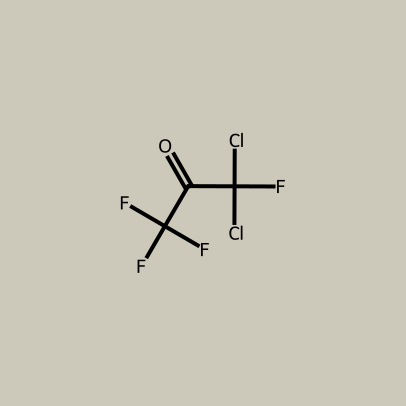 O=C(C(F)(F)F)C(F)(Cl)Cl